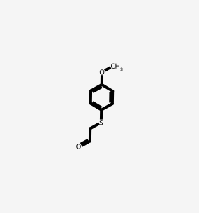 COc1ccc(SCC=O)cc1